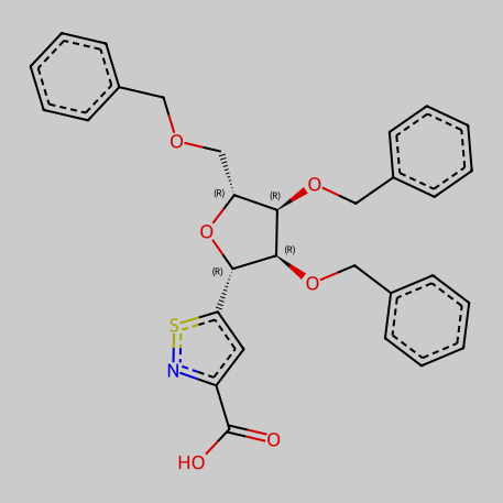 O=C(O)c1cc([C@@H]2O[C@H](COCc3ccccc3)[C@@H](OCc3ccccc3)[C@H]2OCc2ccccc2)sn1